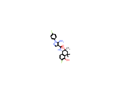 CC1(C)C[C@](O)(C(F)(F)F)[C@@H](NC(=O)c2cnn(-c3ccc(F)cc3)c2N)c2ccc(F)c(O)c21